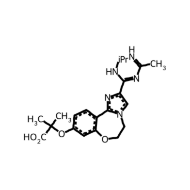 CC(=N)/N=C(\NC(C)C)c1cn2c(n1)-c1ccc(OC(C)(C)C(=O)O)cc1OCC2